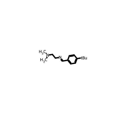 CN(C)CC/N=C/c1ccc(C(C)(C)C)cc1